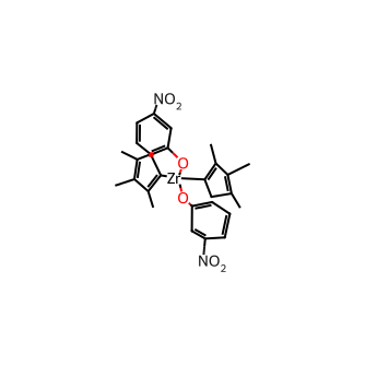 CC1=C(C)C(C)=[C]([Zr]([O]c2cccc([N+](=O)[O-])c2)([O]c2cccc([N+](=O)[O-])c2)[C]2=C(C)C(C)=C(C)C2)C1